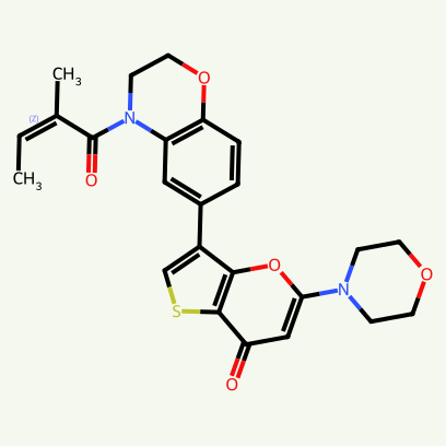 C/C=C(/C)C(=O)N1CCOc2ccc(-c3csc4c(=O)cc(N5CCOCC5)oc34)cc21